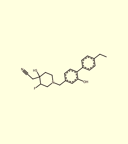 CCc1ccc(-c2ccc(CN3CCC(S)(CC#N)C(F)C3)cc2O)cc1